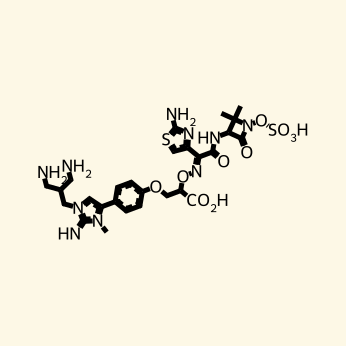 Cn1c(-c2ccc(OCC(ON=C(C(=O)NC3C(=O)N(OS(=O)(=O)O)C3(C)C)c3csc(N)n3)C(=O)O)cc2)cn(CC(CN)CN)c1=N